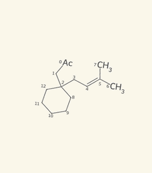 CC(=O)CC1(CC=C(C)C)CCCCC1